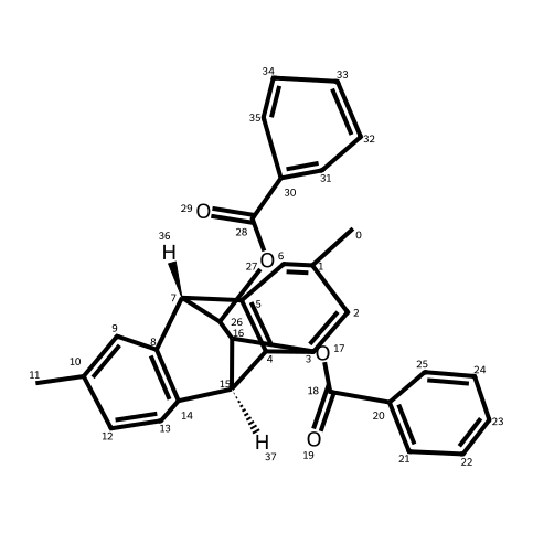 Cc1ccc2c(c1)[C@H]1c3cc(C)ccc3[C@H]2C(OC(=O)c2ccccc2)C1OC(=O)c1ccccc1